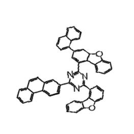 C1=C(c2cccc3ccccc23)C=C(c2nc(-c3ccc4c(ccc5ccccc54)c3)nc(-c3cccc4oc5ccccc5c34)n2)C2c3ccccc3OC12